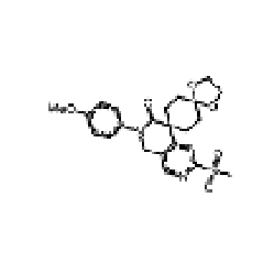 COc1ccc(N2Cc3cnc(S(C)(=O)=O)nc3C3(CCC4(CC3)OCCO4)C2=O)cc1